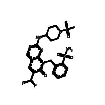 CS(=O)(=O)N1CCC(Nc2ncc3cc(C(F)F)c(=O)n(Cc4ccccc4S(N)(=O)=O)c3n2)CC1